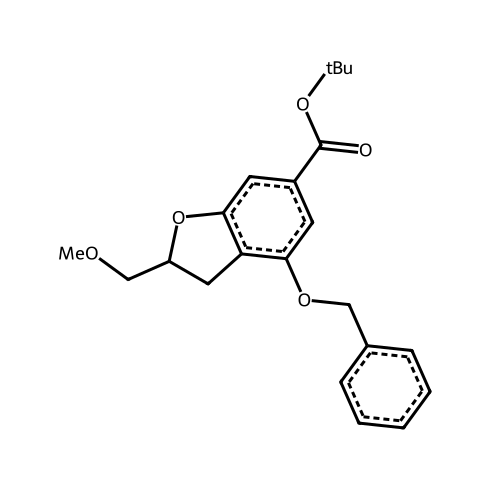 COCC1Cc2c(OCc3ccccc3)cc(C(=O)OC(C)(C)C)cc2O1